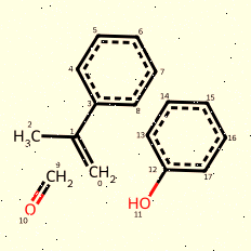 C=C(C)c1ccccc1.C=O.Oc1ccccc1